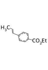 C/C=C/c1ccc(C(=O)OCC)cc1